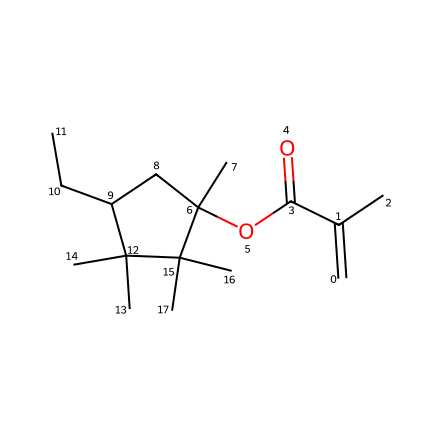 C=C(C)C(=O)OC1(C)CC(CC)C(C)(C)C1(C)C